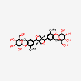 COc1cc(C2OC[C@H]3C(c4cc(OC)c(O[C@@H]5O[C@H](CO)[C@@H](O)[C@H](O)[C@H]5O)c(OC)c4)OC[C@H]23)cc(OC)c1O[C@@H]1O[C@H](CO)[C@@H](O)[C@H](O)[C@H]1O